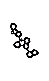 c1ccc(N(c2ccc3c(c2)oc2ccccc23)c2ccccc2-c2cccc(-c3cccc4ccccc34)c2)cc1